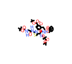 COc1c(CC(NC(=O)/C(=N\OC(C)(C)C(=O)OC(C)(C)C)c2csc(NC(=O)CNC(=O)OC(C)(C)C)n2)B2OC3CC4CC(C4(C)C)C3(C)O2)cccc1C(=O)OC(C)(C)C